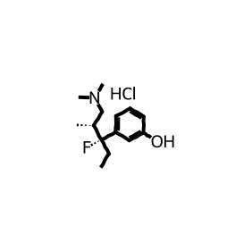 CC[C@](F)(c1cccc(O)c1)[C@H](C)CN(C)C.Cl